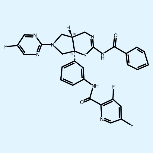 O=C(NC1=NC[C@H]2CN(c3ncc(F)cn3)C[C@]2(c2cccc(NC(=O)c3ncc(F)cc3F)c2)S1)c1ccccc1